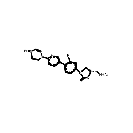 CCN1C=NN(c2ccc(-c3ccc(N4C[C@H](CNC(C)=O)OC4=O)cc3F)cn2)CC1